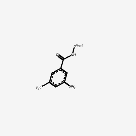 CCCCCNC(=O)c1cc(N)cc(C(F)(F)F)c1